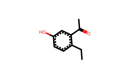 CCc1ccc(O)cc1C(C)=O